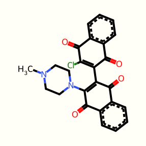 CN1CCN(C2=C(C3=C(Cl)C(=O)c4ccccc4C3=O)C(=O)c3ccccc3C2=O)CC1